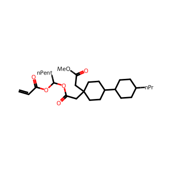 C=CC(=O)OC(CCCCC)OC(=O)CC1(CC(=O)OC)CCC(C2CCC(CCC)CC2)CC1